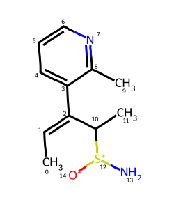 CC=C(c1cccnc1C)C(C)[S+](N)[O-]